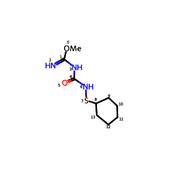 COC(=N)NC(=O)NSC1CCCCC1